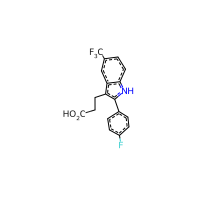 O=C(O)CCc1c(-c2ccc(F)cc2)[nH]c2ccc(C(F)(F)F)cc12